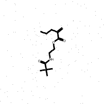 C=C(CCC)C(=O)OCCNC(=O)C(C)(C)C